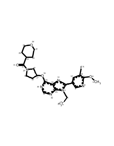 CCn1c(-c2cnc(OC)c(F)c2)nc2c(OC3CCN(C(=O)C4CCOCC4)C3)ncnc21